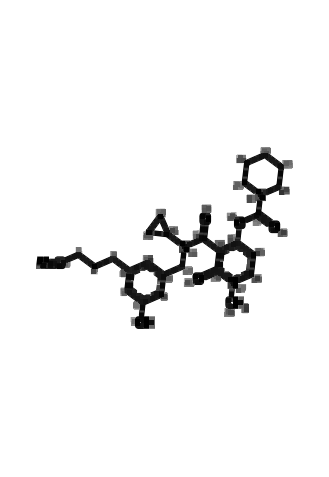 COCCCc1cc(O)cc(CN(C(=O)c2c(OC(=O)N3CCCCC3)ccn(C)c2=O)C2CC2)c1